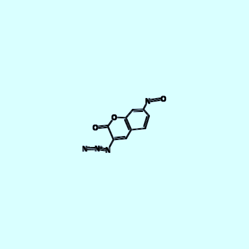 [N-]=[N+]=Nc1cc2ccc(N=O)cc2oc1=O